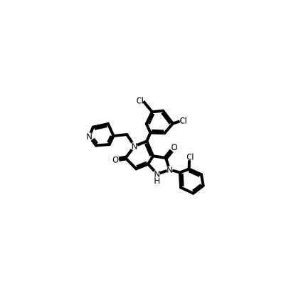 O=c1c2c(-c3cc(Cl)cc(Cl)c3)n(Cc3ccncc3)c(=O)cc2[nH]n1-c1ccccc1Cl